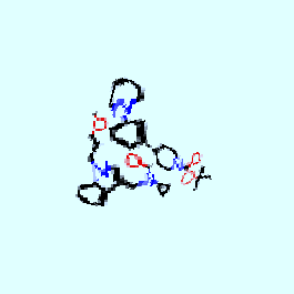 COCCCn1cc(CN(C(=O)[C@H]2CN(C(=O)OC(C)(C)C)CC[C@@H]2c2cccc(N3CC=CCC3)c2)C2CC2)c2ccccc21